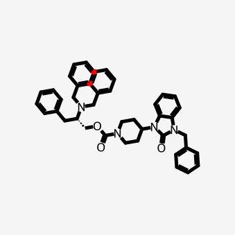 O=C(OC[C@H](Cc1ccccc1)N(Cc1ccccc1)Cc1ccccc1)N1CCC(n2c(=O)n(Cc3ccccc3)c3ccccc32)CC1